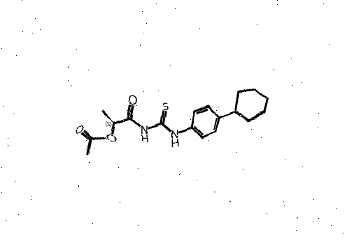 CC(=O)O[C@@H](C)C(=O)NC(=S)Nc1ccc(C2CCCCC2)cc1